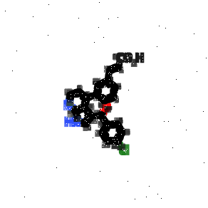 O=C(O)C=Cc1cccc(-c2ccnc3[nH]cc(C(=O)c4ccc(Cl)cc4)c23)c1